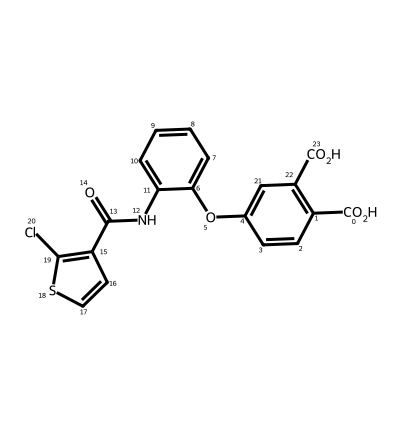 O=C(O)c1ccc(Oc2ccccc2NC(=O)c2ccsc2Cl)cc1C(=O)O